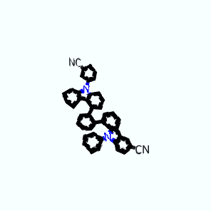 N#Cc1cccc(-n2c3ccccc3c3c(-c4ccccc4-c4cccc5c6cc(C#N)ccc6n(-c6ccccc6)c45)cccc32)c1